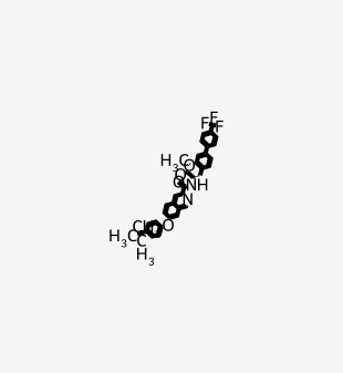 COC(=O)[C@H](Cc1ccc(-c2ccc(C(F)(F)F)cc2)cc1)NC(=O)c1cc2ccc(Oc3ccc(C(C)(C)C)cc3)cc2cn1